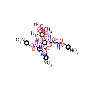 CN(C(=O)OC(C)(C)C)[C@@H]1[C@@H](O)[C@@H](O[C@@H]2[C@@H](O)[C@H](O[C@H]3OC(CN)=CC[C@H]3NC(=O)OCc3ccc([N+](=O)[O-])cc3)[C@@H](NC(=O)OCc3ccc([N+](=O)[O-])cc3)C[C@H]2NC(=O)[C@@H](O)CCNC(=O)OCc2ccc([N+](=O)[O-])cc2)CC[C@]1(C)O